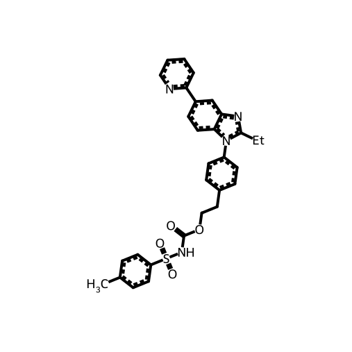 CCc1nc2cc(-c3ccccn3)ccc2n1-c1ccc(CCOC(=O)NS(=O)(=O)c2ccc(C)cc2)cc1